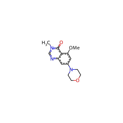 COc1cc(N2CCOCC2)cc2ncn(C)c(=O)c12